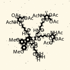 COc1ccc(C(OCC(OC(=O)CCC(=O)N[SH](=P)=S)C(=O)N(CCCCNC(=O)CCCCO[C@@H]2OC(COC(C)=O)[C@H](OC(C)=O)[C@H](C)C2NC(C)=O)CCN(CCNC(=O)CCCCO[C@@H]2OC(COC(C)=O)[C@H](OC(C)=O)[C@H](C)C2NC(C)=O)C(=O)CCCCO[C@@H]2OC(COC(C)=O)[C@H](OC(C)=O)[C@H](C)C2NC(C)=O)(c2ccccc2)c2ccc(OC)cc2)cc1